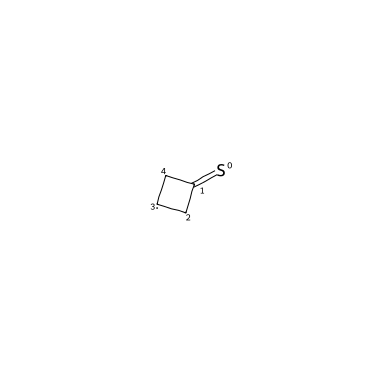 S=C1C[CH]C1